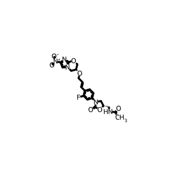 CC(=O)NC[C@H]1CN(c2ccc(C=CCO[C@@H]3COc4nc([N+](=O)[O-])cn4C3)c(F)c2)C(=O)O1